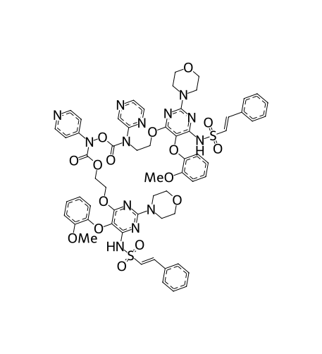 COc1ccccc1Oc1c(NS(=O)(=O)C=Cc2ccccc2)nc(N2CCOCC2)nc1OCCOC(=O)N(OC(=O)N(CCOc1nc(N2CCOCC2)nc(NS(=O)(=O)C=Cc2ccccc2)c1Oc1ccccc1OC)c1cnccn1)c1ccncc1